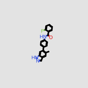 Cc1cc2cn[nH]c2cc1-c1ccc(NC(=O)c2ccccc2F)cc1